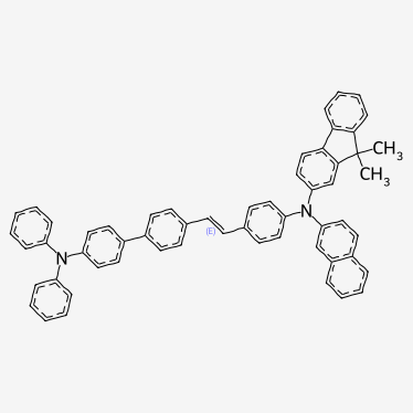 CC1(C)c2ccccc2-c2ccc(N(c3ccc(/C=C/c4ccc(-c5ccc(N(c6ccccc6)c6ccccc6)cc5)cc4)cc3)c3ccc4ccccc4c3)cc21